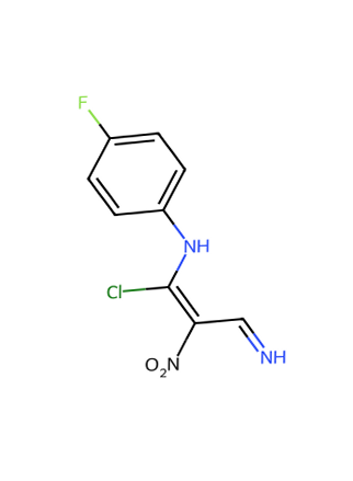 N=C/C(=C(/Cl)Nc1ccc(F)cc1)[N+](=O)[O-]